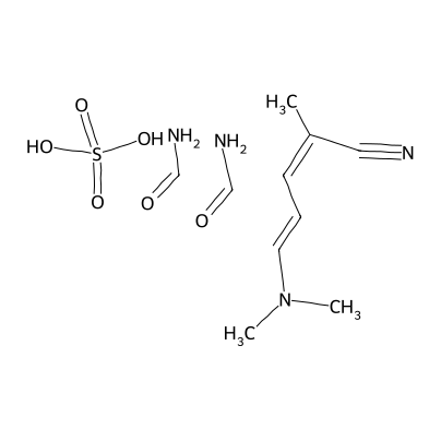 CC(C#N)=CC=CN(C)C.NC=O.NC=O.O=S(=O)(O)O